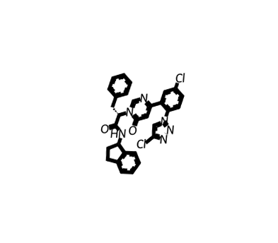 O=C(NC1CCc2ccccc21)[C@H](Cc1ccccc1)n1cnc(-c2cc(Cl)ccc2-n2cc(Cl)nn2)cc1=O